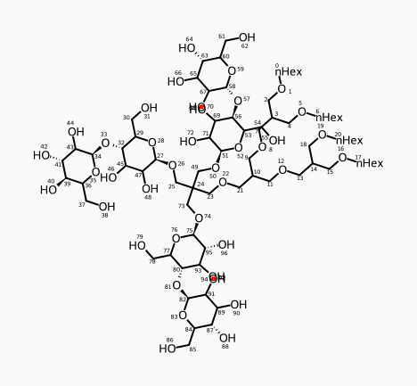 CCCCCCOCC(COCCCCCC)COCC(COCC(COCCCCCC)COCCCCCC)COCC(CO[C@@H]1OC(CO)[C@@H](O[C@H]2OC(CO)[C@@H](O)[C@H](O)C2O)C(O)C1O)(CO[C@@H]1OC(CO)[C@H](O[C@H]2OC(CO)[C@@H](O)C(O)C2O)C(O)C1O)CO[C@@H]1OC(CO)[C@@H](O[C@@H]2OC(CO)[C@@H](O)C(O)C2O)C(O)[C@H]1O